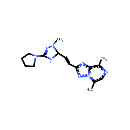 Cc1ncc(C)n2nc(/C=C/C3NC(N4CCCC4)=NN3C)nc12